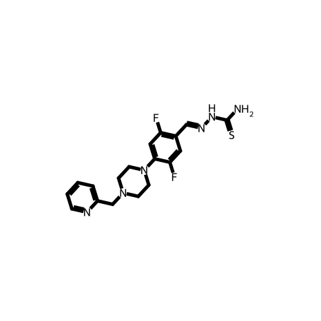 NC(=S)NN=Cc1cc(F)c(N2CCN(Cc3ccccn3)CC2)cc1F